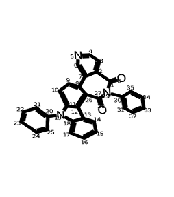 O=c1c2ccncc2c2ccc3c(c4ccccc4n3-c3ccccc3)c2c(=O)n1-c1ccccc1